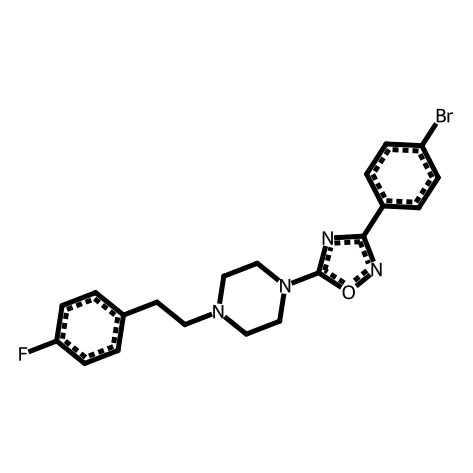 Fc1ccc(CCN2CCN(c3nc(-c4ccc(Br)cc4)no3)CC2)cc1